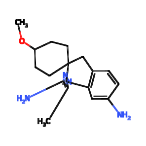 COC1CCC2(CC1)Cc1ccc(N)cc1C21N=C(C)C(N)=N1